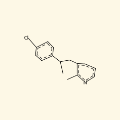 Cc1ncccc1CC(C)c1ccc(Cl)cc1